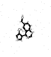 Cc1cscc1-c1ncnc2ccc(C=O)cc12